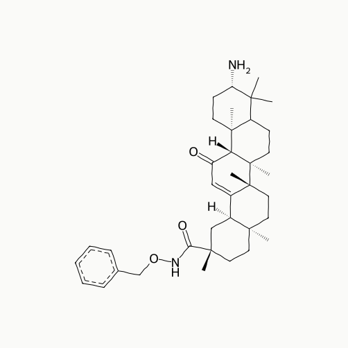 CC1(C)C2CC[C@]3(C)[C@H](C(=O)C=C4[C@@H]5C[C@@](C)(C(=O)NOCc6ccccc6)CC[C@]5(C)CC[C@]43C)[C@@]2(C)CC[C@@H]1N